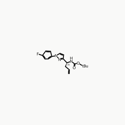 C=CC[C@H](NC(=O)OC(C)(C)C)c1ccn(-c2ccc(F)cc2)n1